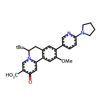 COc1cc2c(cc1-c1ccc(N3CCCC3)nc1)CC(C(C)(C)C)n1cc(C(=O)O)c(=O)cc1-2